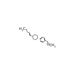 CCCC=C[C@H]1CC[C@H](c2ccc(COC)cc2)CC1